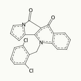 O=C1c2c(n(Cc3c(Cl)cccc3Cl)c3ccccc3c2=O)-c2cccn21